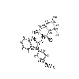 CCCN(Cc1nc2ccccc2n1-c1ccc(OC)cc1)C(=O)c1c(C)cc(C)cc1C